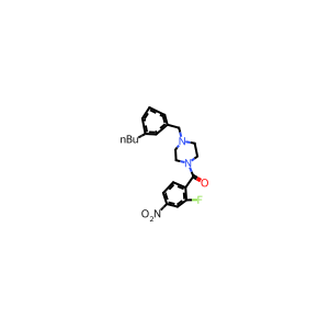 CCCCc1cccc(CN2CCN(C(=O)c3ccc([N+](=O)[O-])cc3F)CC2)c1